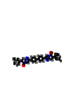 CC(C)[C@H]1Cc2nc(-c3ccc(-c4ccc(-c5cn6c(n5)C[C@H](C(C)C)C6=O)cc4)cc3)cn2C1=O